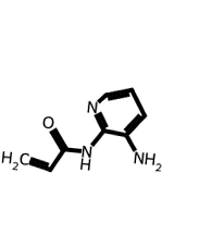 C=CC(=O)Nc1ncccc1N